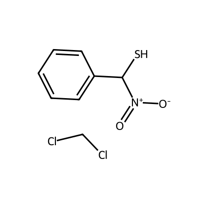 ClCCl.O=[N+]([O-])C(S)c1ccccc1